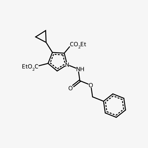 CCOC(=O)c1cn(NC(=O)OCc2ccccc2)c(C(=O)OCC)c1C1CC1